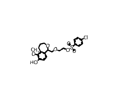 COc1c(O)ccc2c1CCCOC2COCCOS(=O)(=O)c1ccc(Cl)cc1